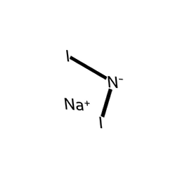 I[N-]I.[Na+]